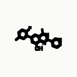 Cc1ccc(F)c(-c2cc(O)c3nc(-c4cccnc4)nc(C)c3c2)c1